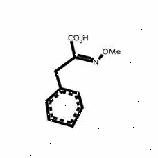 CON=C(Cc1ccccc1)C(=O)O